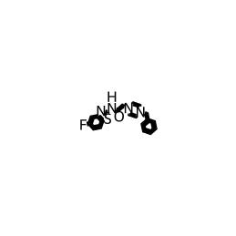 O=C(CN1CCN(Cc2ccccc2)CC1)Nc1nc2cc(F)ccc2s1